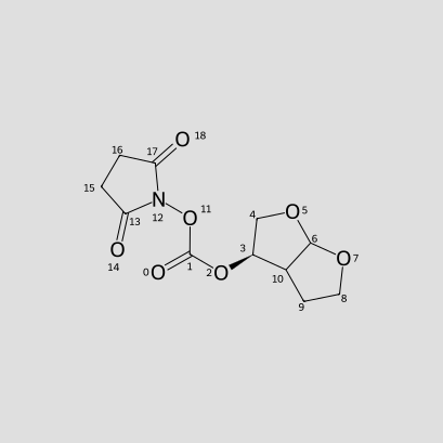 O=C(O[C@H]1COC2OCCC21)ON1C(=O)CCC1=O